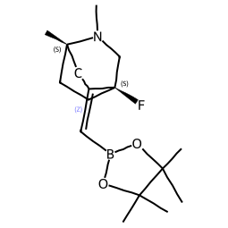 CN1C[C@]2(F)CC[C@@]1(C)C/C2=C/B1OC(C)(C)C(C)(C)O1